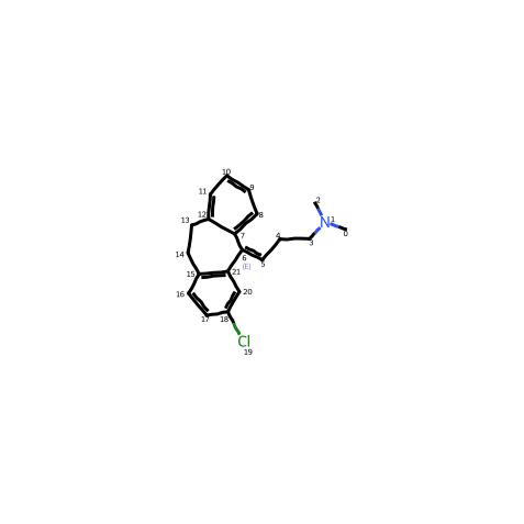 CN(C)CC/C=C1\c2ccccc2CCc2ccc(Cl)cc21